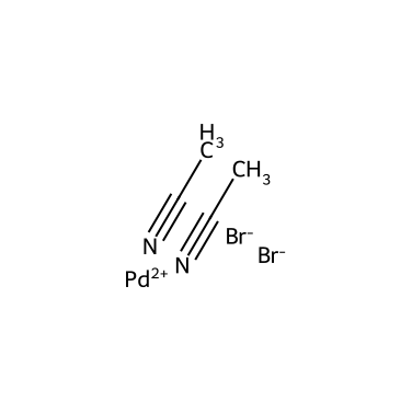 CC#N.CC#N.[Br-].[Br-].[Pd+2]